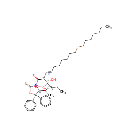 CCCCCCCSCCCCCC/C=C/[C@H](C(=O)N1C(=S)OC(c2ccccc2)(c2ccccc2)[C@@H]1C(C)C)[C@@](O)(CCC)C(=O)O